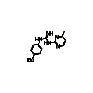 CCC(C)c1ccc(NC(=N)Nc2nccc(C)n2)cc1